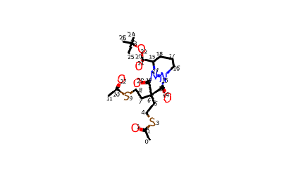 CC(=O)SCCC1(CCSC(C)=O)C(=O)N2CCCC(C(=O)OC(C)(C)C)N2C1=O